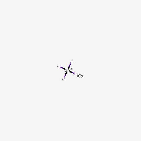 [Cs].[I][Sn]([I])([I])[I]